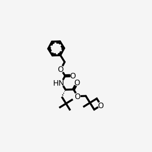 CC(C)(C)C[C@H](NC(=O)OCc1ccccc1)C(=O)OCC1(C)COC1